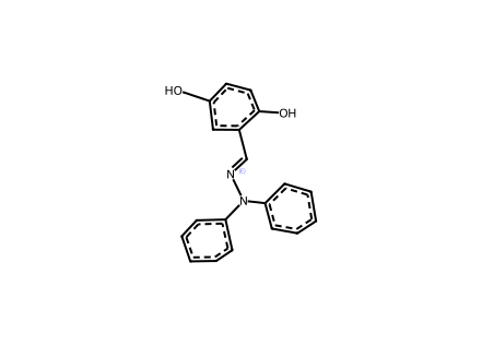 Oc1ccc(O)c(/C=N/N(c2ccccc2)c2ccccc2)c1